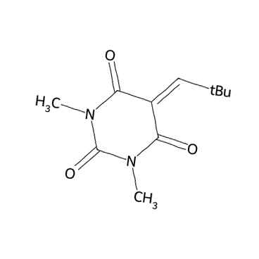 CN1C(=O)C(=CC(C)(C)C)C(=O)N(C)C1=O